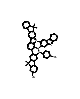 CC(C)(C)c1ccc(N2B3c4cc5sc6ccccc6c5cc4-n4c5cc6c(cc5c5ccc(c3c54)-c3cc4c(cc32)-c2ccc(C(C)(C)C)cc2C4(C)C)-c2ccccc2C6(C)C)cc1